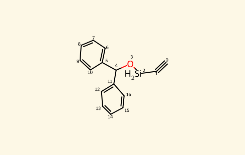 C#C[SiH2]OC(c1ccccc1)c1ccccc1